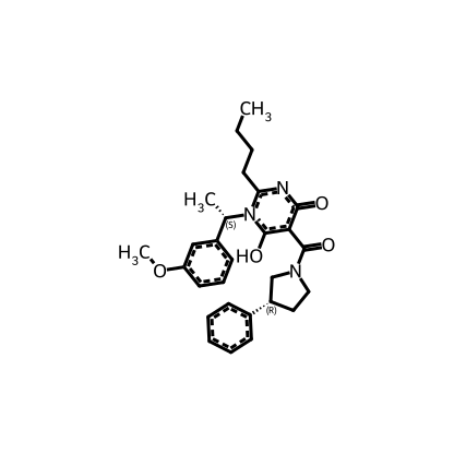 CCCCc1nc(=O)c(C(=O)N2CC[C@H](c3ccccc3)C2)c(O)n1[C@@H](C)c1cccc(OC)c1